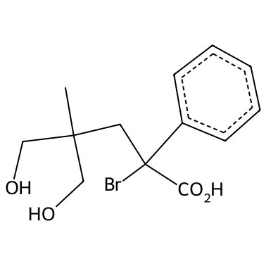 CC(CO)(CO)CC(Br)(C(=O)O)c1ccccc1